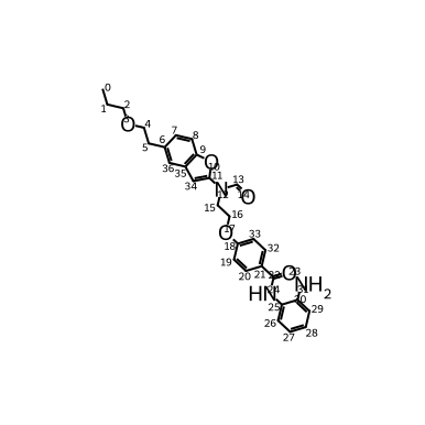 CCCOCCc1ccc2oc(N(C=O)CCOc3ccc(C(=O)Nc4ccccc4N)cc3)cc2c1